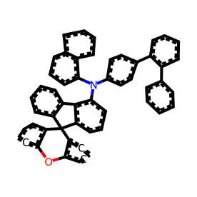 c1ccc(-c2ccccc2-c2ccc(N(c3cccc4c3-c3ccccc3C43c4ccccc4Oc4ccccc43)c3cccc4ccccc34)cc2)cc1